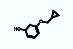 OC1[CH]C(OCC2CC2)=CC=C1